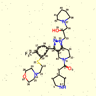 O=C(CC1CCNCC1)N1CCc2c(c(-c3ccc(C(F)(F)F)c(SCCN4CCOCC4)c3)nn2CC(O)CN2CCCCC2)C1